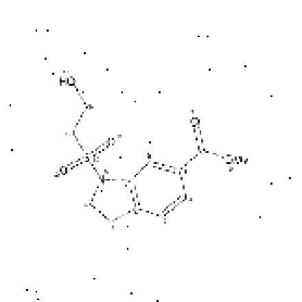 COC(=O)c1ccc2c(c1)N(S(=O)(=O)CCO)CC2